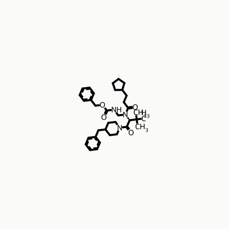 CC(C)(C)[C@@H](C(=O)N1CCC(Cc2ccccc2)CC1)N(CNC(=O)OCc1ccccc1)C(=O)CCC1CCCC1